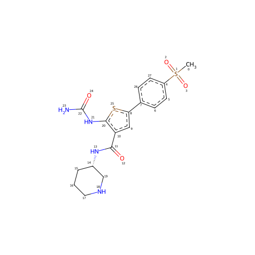 CS(=O)(=O)c1ccc(-c2cc(C(=O)N[C@H]3CCCNC3)c(NC(N)=O)s2)cc1